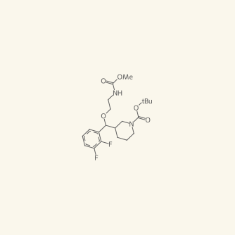 COC(=O)NCCOC(c1cccc(F)c1F)C1CCCN(C(=O)OC(C)(C)C)C1